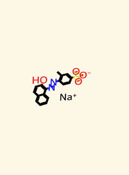 Cc1cc(S(=O)(=O)[O-])ccc1/N=N/c1c(O)ccc2ccccc12.[Na+]